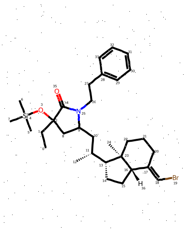 CCC1(O[Si](C)(C)C)CC(C[C@@H](C)[C@H]2CC[C@H]3/C(=C/Br)CCC[C@]23C)N(CCc2ccccc2)C1=O